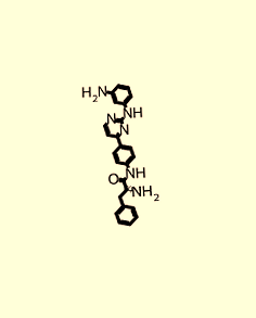 Nc1cccc(Nc2nccc(-c3ccc(NC(=O)[C@H](N)Cc4ccccc4)cc3)n2)c1